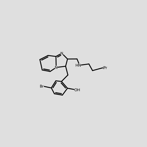 CC(C)CCNCC1N=C2C=CC=CN2C1Cc1cc(Br)ccc1O